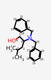 CC(C)CC(CO)N(Cc1ccccc1)Cc1ccccc1